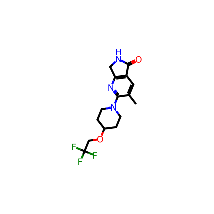 Cc1cc2c(nc1N1CCC(OCC(F)(F)F)CC1)CNC2=O